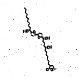 CCCCCCCCCC[C@@H](O)[C@H]1CC[C@@H]([C@H]2CC[C@H]([C@H](O)CCC[C@H](O)CCCCCCCC3=C[C@H](C)OC3=O)O2)O1